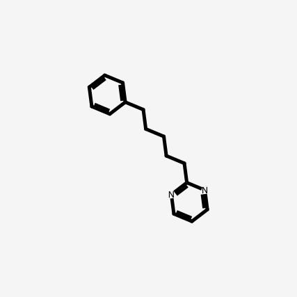 c1ccc(CCCCCc2ncccn2)cc1